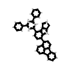 C1=NCc2oc3c(-c4ccc5c6c(cccc46)-c4ccccc4-5)ccc(-c4nc(-c5ccccc5)nc(-c5ccccc5)n4)c3c21